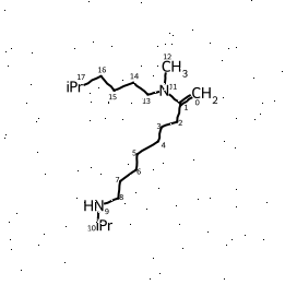 C=C(CCCCCCCNC(C)C)N(C)CCCCC(C)C